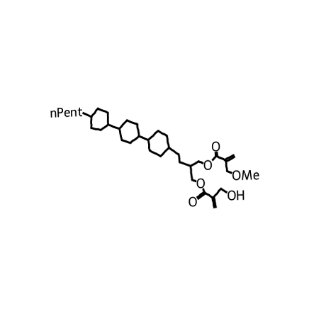 C=C(CO)C(=O)OCC(CCC1CCC(C2CCC(C3CCC(CCCCC)CC3)CC2)CC1)COC(=O)C(=C)COC